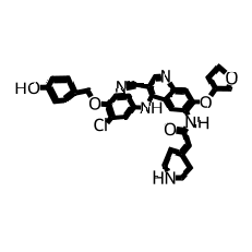 N#Cc1cnc2cc(OC3CCOC3)c(NC(=O)C=C3CCNCC3)cc2c1Nc1ccc(OCc2ccc(O)cc2)c(Cl)c1